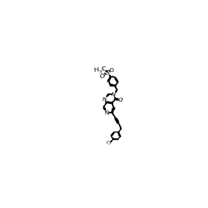 CS(=O)(=O)c1ccc(Cn2cnc3cnc(C#CCc4ccc(Cl)cc4)cc3c2=O)cc1